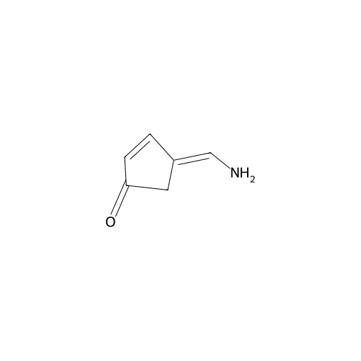 NC=C1C=CC(=O)C1